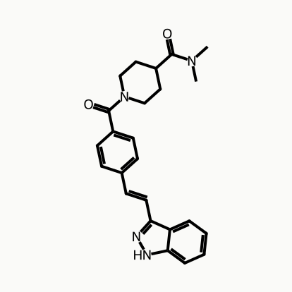 CN(C)C(=O)C1CCN(C(=O)c2ccc(/C=C/c3n[nH]c4ccccc34)cc2)CC1